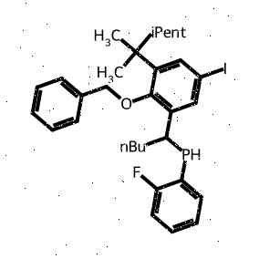 CCCCC(Pc1ccccc1F)c1cc(I)cc(C(C)(C)C(C)CCC)c1OCc1ccccc1